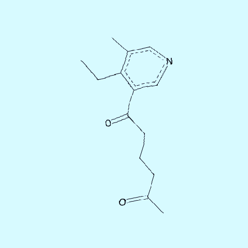 CCc1c(C)cncc1C(=O)CCCC(C)=O